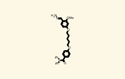 COc1cc(OCCCCCOc2ccc(C(=O)N(C(C)C)C(C)C)cc2)ccc1C=NN